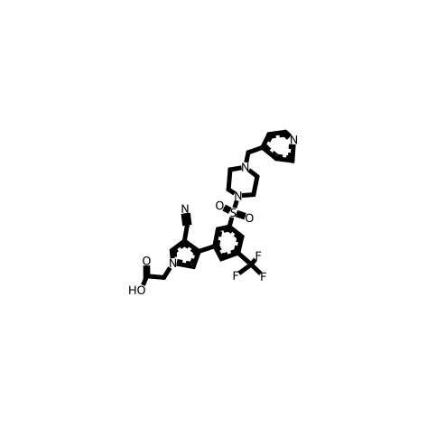 N#Cc1cn(CC(=O)O)cc1-c1cc(C(F)(F)F)cc(S(=O)(=O)N2CCN(Cc3ccncc3)CC2)c1